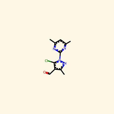 Cc1cc(C)nc(-n2nc(C)c(C=O)c2Cl)n1